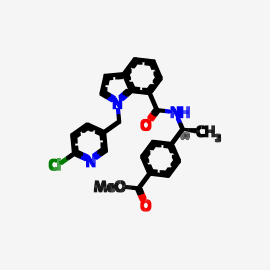 COC(=O)c1ccc([C@H](C)NC(=O)c2cccc3ccn(Cc4ccc(Cl)nc4)c23)cc1